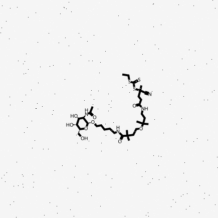 CCSC(=S)SC(C)(C#N)CCC(=O)NCCC(C)(C)OCCC(C)(C)C(=O)NCCCCCO[C@@H]1O[C@H](CO)[C@H](O)[C@H](O)[C@H]1NC(C)=O